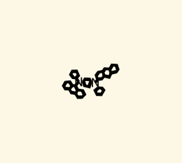 c1ccc(N(c2ccc(N(c3ccccc3)c3c4ccccc4cc4ccccc34)cc2)c2ccc3cc4ccccc4cc3c2)cc1